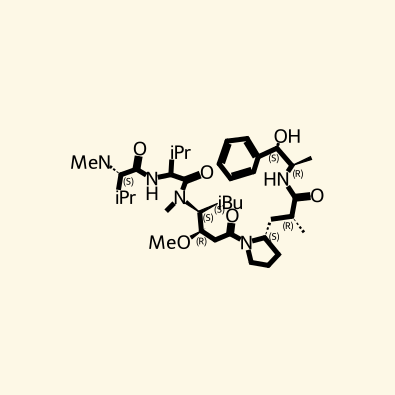 CC[C@H](C)[C@@H]([C@@H](CC(=O)N1CCC[C@H]1C[C@@H](C)C(=O)N[C@H](C)[C@@H](O)c1ccccc1)OC)N(C)C(=O)C(NC(=O)[C@@H](NC)C(C)C)C(C)C